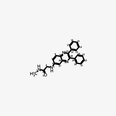 CNC(=O)CNc1ccc2nc(-c3ccccc3)c(-c3ccccc3)nc2c1